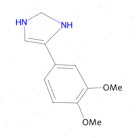 COc1ccc(C2=CNCN2)cc1OC